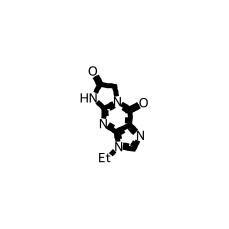 CCn1cnc2c(=O)n3c(nc21)NC(=O)C3